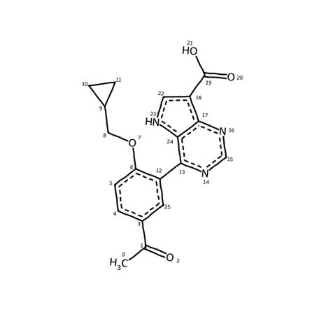 CC(=O)c1ccc(OCC2CC2)c(-c2ncnc3c(C(=O)O)c[nH]c23)c1